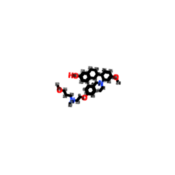 CCN(Cc1ccc(OCCN(C)CCCOC)cc1)C1C=C(OC)C=CC1[C@@H]1CCc2cc(O)ccc2C1